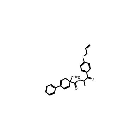 C=CCOc1ccc(C(=O)C(C)OC(=O)C2(CCCCCC)C=CC(c3ccccc3)=CC2)cc1